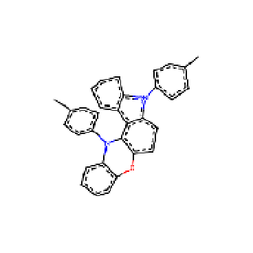 Cc1ccc(N2c3ccccc3Oc3ccc4c(c32)c2ccccc2n4-c2ccc(C)cc2)cc1